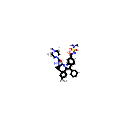 COc1ccc2c(c1)C1CC1(NC(=O)N1C[C@@H](C)N(C)[C@@H](C)C1)Cn1c-2c(C2CCCCC2)c2ccc(C(=O)NS(=O)(=O)N(C)C)cc21